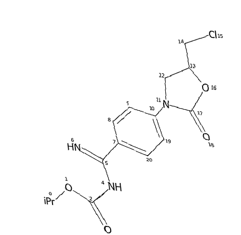 CC(C)OC(=O)NC(=N)c1ccc(N2CC(CCl)OC2=O)cc1